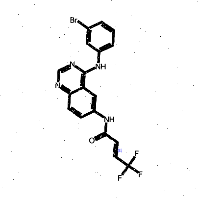 O=C(/C=C/C(F)(F)F)Nc1ccc2ncnc(Nc3cccc(Br)c3)c2c1